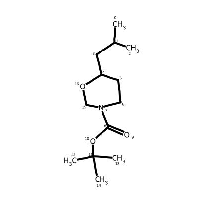 CC(C)CC1CCN(C(=O)OC(C)(C)C)CO1